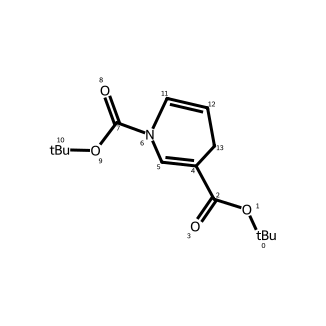 CC(C)(C)OC(=O)C1=CN(C(=O)OC(C)(C)C)C=CC1